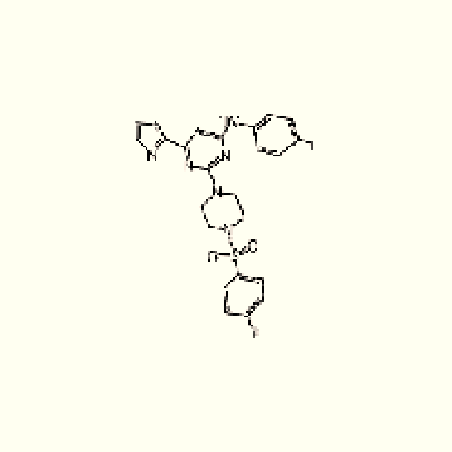 O=S(=O)(c1ccc(F)cc1)N1CCN(c2nc(Nc3ccc(F)cc3)cc(-c3nccs3)n2)CC1